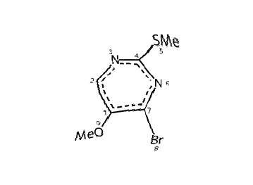 COc1cnc(SC)nc1Br